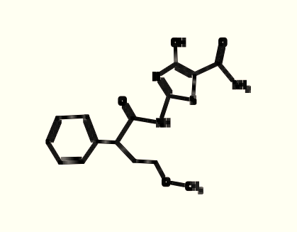 COCCC(C(=O)Nc1nc(O)c(C(N)=O)s1)c1ccccc1